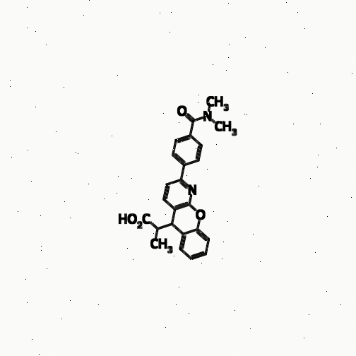 CC(C(=O)O)C1c2ccccc2Oc2nc(-c3ccc(C(=O)N(C)C)cc3)ccc21